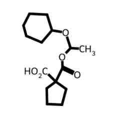 CC(OC(=O)C1(C(=O)O)CCCC1)OC1CCCCC1